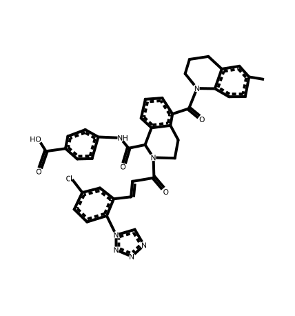 Cc1ccc2c(c1)CCCN2C(=O)c1cccc2c1CCN(C(=O)C=Cc1cc(Cl)ccc1-n1cnnn1)C2C(=O)Nc1ccc(C(=O)O)cc1